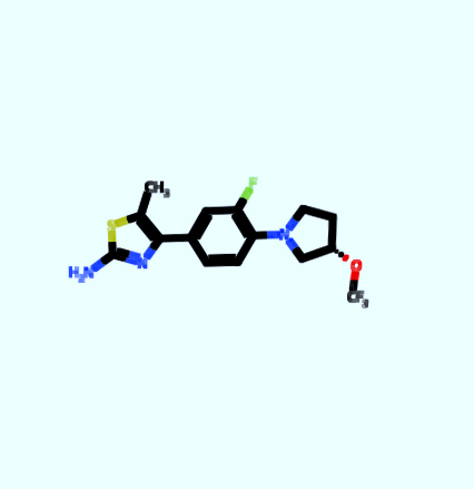 Cc1sc(N)nc1-c1ccc(N2CC[C@H](OC(F)(F)F)C2)c(F)c1